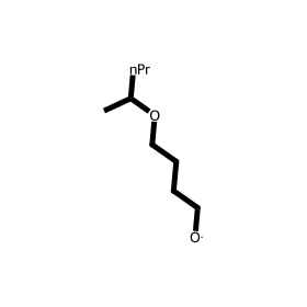 CCCC(C)OCCCC[O]